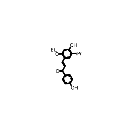 CCOc1cc(O)c(C(C)C)cc1C=CC(=O)c1ccc(O)cc1